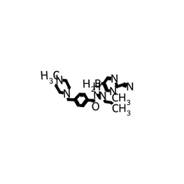 Bc1cnc(C#N)nc1N(CC(C)C)NC(=O)c1ccc(CN2CCN(C)CC2)cc1